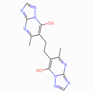 Cc1nc2ncnn2c(O)c1CCc1c(C)nc2ncnn2c1O